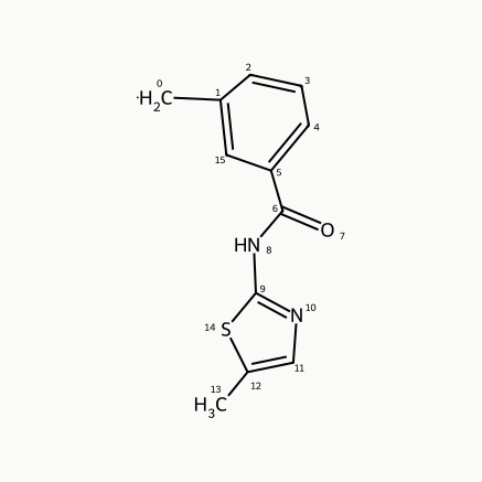 [CH2]c1cccc(C(=O)Nc2ncc(C)s2)c1